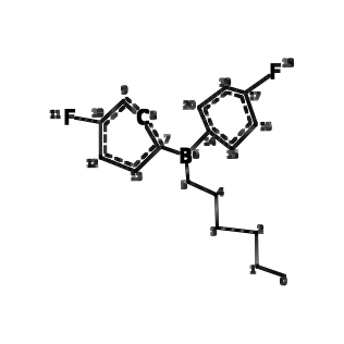 CCCCCCB(c1ccc(F)cc1)c1ccc(F)cc1